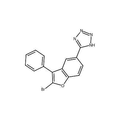 Brc1oc2ccc(-c3nnn[nH]3)cc2c1-c1ccccc1